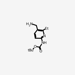 CCc1nc(NC(=O)OC(C)(C)C)ccc1CN